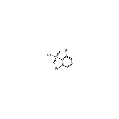 CC(=O)OS(=O)(=O)c1c(C(C)C)cccc1C(C)C